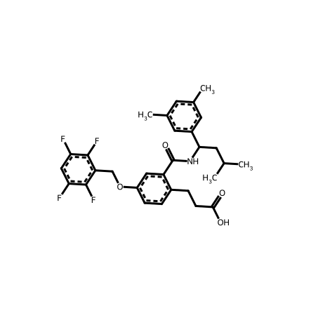 Cc1cc(C)cc(C(CC(C)C)NC(=O)c2cc(OCc3c(F)c(F)cc(F)c3F)ccc2CCC(=O)O)c1